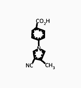 Cc1cn(-c2ccc(C(=O)O)cc2)cc1C#N